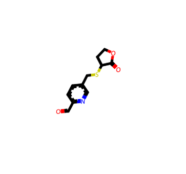 O=Cc1ccc(CSC2CCOC2=O)cn1